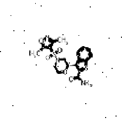 Cc1noc(C)c1S(=O)(=O)N1CCO[C@H](c2c(C(N)=O)sc3ccccc23)C1